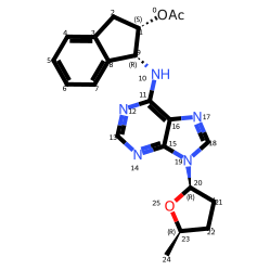 CC(=O)O[C@H]1Cc2ccccc2[C@H]1Nc1ncnc2c1ncn2[C@H]1[CH][CH][C@@H](C)O1